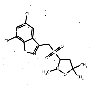 CN1OC(C)(C)CC1S(=O)(=O)Cc1noc2c(Cl)cc(Cl)cc12